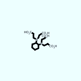 O=C(O)CCN(CCC(=O)O)C1CCCCC1N(CCC(=O)O)CCC(=O)O